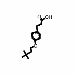 CC(C)(C)CCOc1ccc(CCC(=O)O)cc1